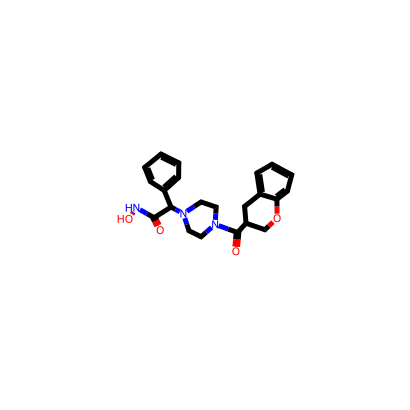 O=C(NO)C(c1ccccc1)N1CCN(C(=O)C2COc3ccccc3C2)CC1